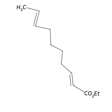 CC=CCCCCC=CC(=O)OCC